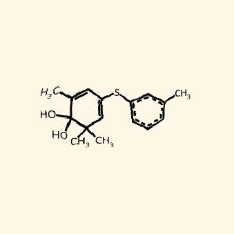 CC1=CC(Sc2cccc(C)c2)=CC(C)(C)C1(O)O